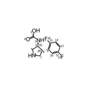 O=C(O)N[C@@H]1CNC[C@H]1c1cc(F)ccc1F